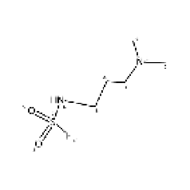 CN(C)CCCNS(=O)(=O)F